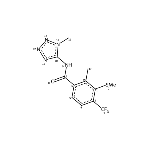 CSc1c(C(F)(F)F)ccc(C(=O)Nc2nnnn2C)c1C